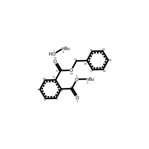 CCCCO.CCCCOC(=O)c1ccccc1C(=O)OCc1ccccc1